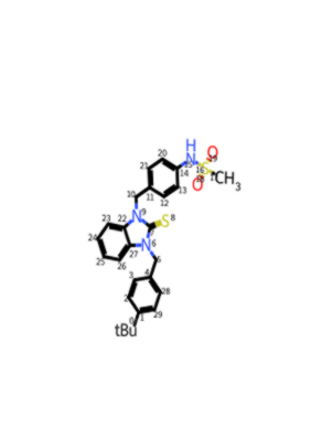 CC(C)(C)c1ccc(Cn2c(=S)n(Cc3ccc(NS(C)(=O)=O)cc3)c3ccccc32)cc1